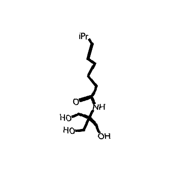 CC(C)CCCCCC(=O)NC(CO)(CO)CO